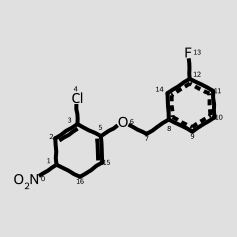 O=[N+]([O-])C1C=C(Cl)C(OCc2cccc(F)c2)=CC1